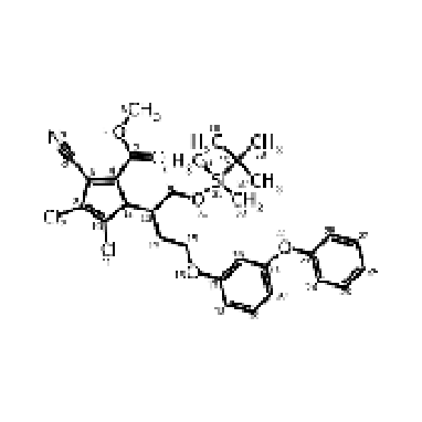 COC(=O)C1=C(C#N)C(Cl)=C(Cl)C1C(CCOc1cccc(Oc2ccccc2)c1)CO[Si](C)(C)C(C)(C)C